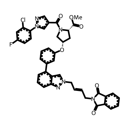 COC(=O)[C@@H]1C[C@H](Oc2cccc(-c3cccc4nn(C/C=C/CN5C(=O)c6ccccc6C5=O)cc34)c2)CN1C(=O)c1cnn(-c2ccc(F)cc2Cl)c1